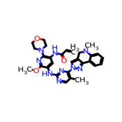 C=CC(=O)Nc1cc(Nc2ncc(C)c(-n3cc4c(n3)-c3ccccc3N(C)C4)n2)c(OC)nc1N1CCOCC1